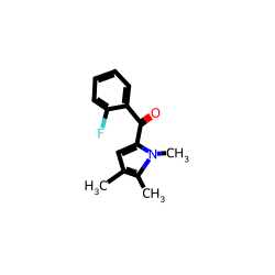 Cc1cc(C(=O)c2ccccc2F)n(C)c1C